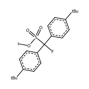 CC(C)(C)c1ccc(C(F)(c2ccc(C(C)(C)C)cc2)S(=O)(=O)OI)cc1